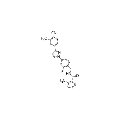 Cc1ncsc1C(=O)NCc1ncc(-n2ccc(-c3ccc(C#N)c(C(F)(F)F)c3)n2)cc1F